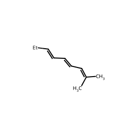 CCC=CC=CC=C(C)C